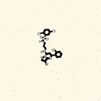 O=S(=O)(NCCCNc1cc(-c2ccccc2Cl)nc2c(Br)cnn12)c1cc(Cl)ccc1Cl